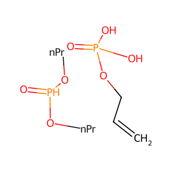 C=CCOP(=O)(O)O.CCCO[PH](=O)OCCC